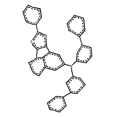 c1ccc(-c2cccc(N(c3cccc(-c4ccccc4)c3)c3cc4c5c(cccc5c3)-c3sc(-c5ccccc5)nc3-4)c2)cc1